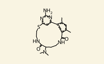 Cc1cc(C)c2cc1C(=O)NCCC(N(C)C)C(=O)NCCSc1cc-2nc(N)n1